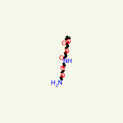 CC(C)(C)OC(=O)CCOCCC(=O)NCCOCCOCCN